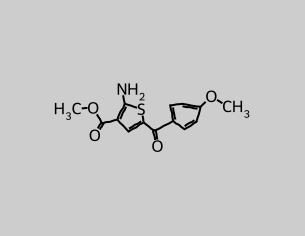 COC(=O)c1cc(C(=O)c2ccc(OC)cc2)sc1N